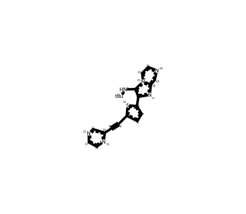 CC(C)(C)Nc1c(-c2ccc(C#Cc3cnccn3)s2)nc2cnccn12